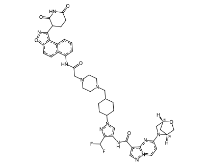 O=C1CCC(c2noc3ccc4c(NC(=O)CN5CCN(CC6CCC(n7cc(NC(=O)c8cnn9ccc(N%10C[C@H]%11C[C@@H]%10CO%11)nc89)c(C(F)F)n7)CC6)CC5)cccc4c23)C(=O)N1